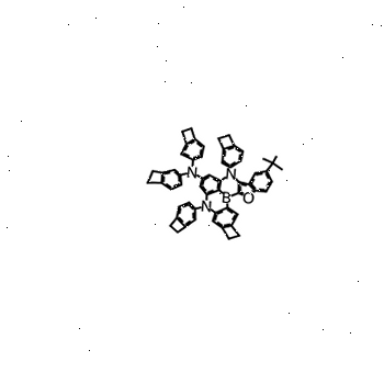 CC(C)(C)c1ccc2oc3c(c2c1)N(c1ccc2c(c1)CC2)c1cc(N(c2ccc4c(c2)CC4)c2ccc4c(c2)CC4)cc2c1B3c1cc3c(cc1N2c1ccc2c(c1)CC2)CC3